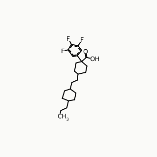 CCCC1CCC(CCC2CCC(C(=O)O)(c3cc(F)c(F)c(F)c3)CC2)CC1